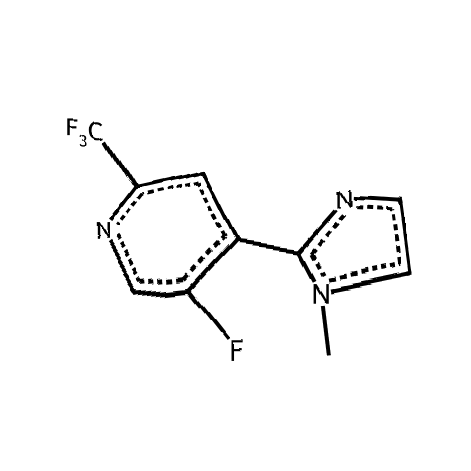 Cn1ccnc1-c1cc(C(F)(F)F)ncc1F